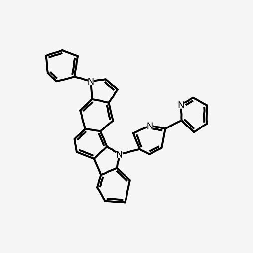 c1ccc(-n2ccc3cc4c(ccc5c6ccccc6n(-c6ccc(-c7ccccn7)nc6)c45)cc32)cc1